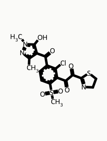 Cc1nn(C)c(O)c1C(=O)c1ccc(S(C)(=O)=O)c(C(=O)C(=O)C2=NCCS2)c1Cl